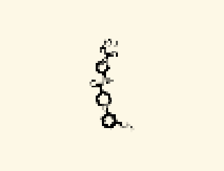 CC(C)(C)OC(=O)N1CCC(NC(=O)C2CCN(c3cccc(C(F)(F)F)c3)CC2)C1